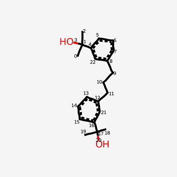 CC(C)(O)c1cccc(CCCc2cccc(C(C)(C)O)c2)c1